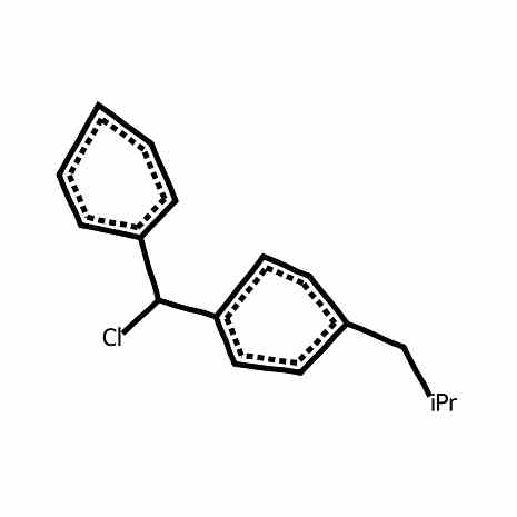 CC(C)Cc1ccc(C(Cl)c2ccccc2)cc1